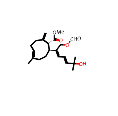 C=C1CC/C=C(\C)CC[C@H](/C(=C/C=C/C(C)(C)O)COC=O)[C@H]1C(=O)OC